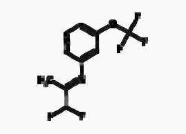 C/C(=N\c1cccc(OC(F)(F)F)c1)C(F)F